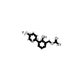 CCC(=O)OCc1cccc(-c2ccc(C(F)(F)F)cn2)c1O